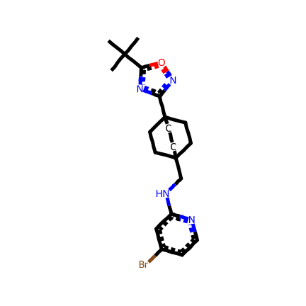 CC(C)(C)c1nc(C23CCC(CNc4cc(Br)ccn4)(CC2)CC3)no1